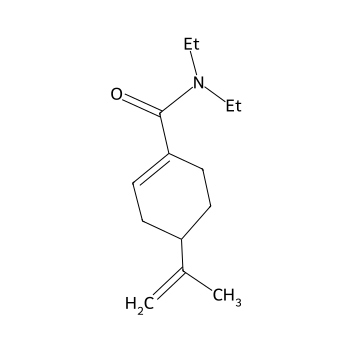 C=C(C)C1CC=C(C(=O)N(CC)CC)CC1